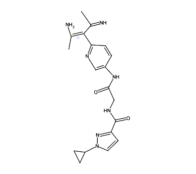 CC(=N)/C(=C(/C)N)c1ccc(NC(=O)CNC(=O)c2ccn(C3CC3)n2)cn1